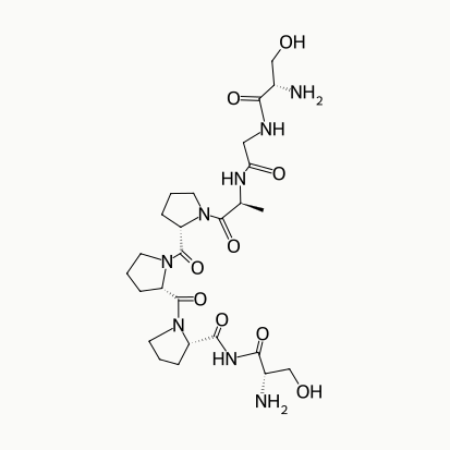 C[C@H](NC(=O)CNC(=O)[C@@H](N)CO)C(=O)N1CCC[C@H]1C(=O)N1CCC[C@H]1C(=O)N1CCC[C@H]1C(=O)NC(=O)[C@@H](N)CO